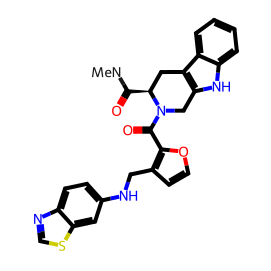 CNC(=O)[C@H]1Cc2c([nH]c3ccccc23)CN1C(=O)c1occc1CNc1ccc2ncsc2c1